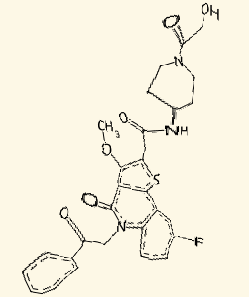 COc1c(C(=O)NC2CCN(C(=O)CO)CC2)sc2c1c(=O)n(CC(=O)c1ccccc1)c1ccc(F)cc21